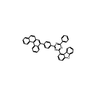 c1ccc(-c2nc(-c3ccc(-c4cc5ccc6ccccc6c5c5ccccc45)cc3)nc(-c3cccc4oc5ccccc5c34)n2)cc1